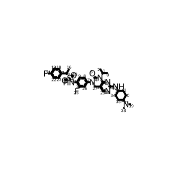 CC(C)N1C(=O)N(c2ccc(NS(=O)(=O)C(C)c3ccc(F)cc3)c(F)c2)Cc2cnc(NC3CCC(N(C)C)CC3)nc21